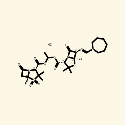 CC(OC(=O)[C@@H]1N2C(=O)[C@@H](N=CN3CCCCCC3)[C@H]2SC1(C)C)OC(=O)[C@@H]1N2C(=O)C[C@H]2S(=O)(=O)C1(C)C.Cl